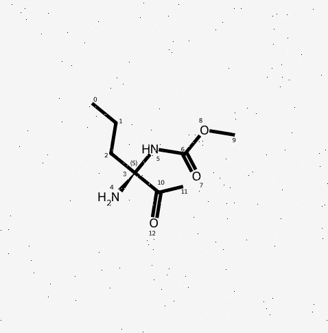 CCC[C@](N)(NC(=O)OC)C(C)=O